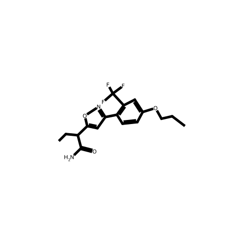 CCCOc1ccc(-c2cc(C(CC)C(N)=O)on2)c(C(F)(F)F)c1